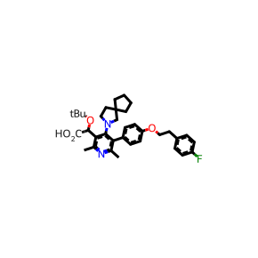 Cc1nc(C)c(C(OC(C)(C)C)C(=O)O)c(N2CCC3(CCCC3)C2)c1-c1ccc(OCCc2ccc(F)cc2)cc1